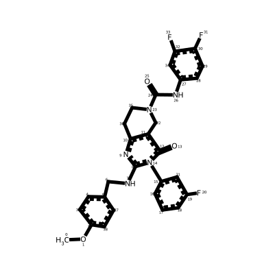 COc1ccc(CNc2nc3c(c(=O)n2-c2cccc(F)c2)CN(C(=O)Nc2ccc(F)c(F)c2)CC3)cc1